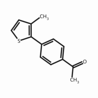 CC(=O)c1ccc(-c2sccc2C)cc1